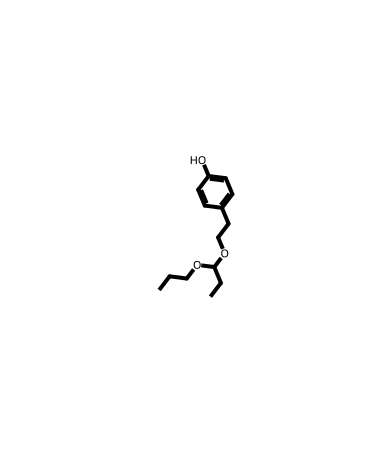 CCCOC(CC)OCCc1ccc(O)cc1